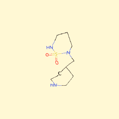 O=S1(=O)NCCCN1CC1CCNCC1